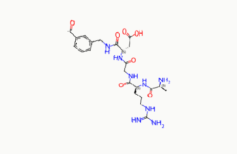 C[C@H](N)C(=O)N[C@@H](CCCNC(=N)N)C(=O)NCC(=O)N[C@@H](CC(=O)O)C(=O)NCc1cccc([C]=O)c1